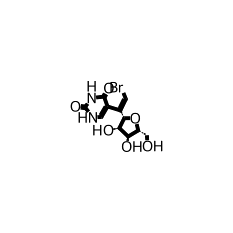 O=c1[nH]cc(/C(=C\Br)[C@@H]2O[C@H](CO)[C@@H](O)[C@@H]2O)c(=O)[nH]1